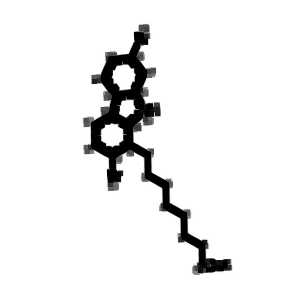 CCCCCCCCCCCCCCCCCc1c(Br)ccc2c1[nH]c1cc(Br)ccc12